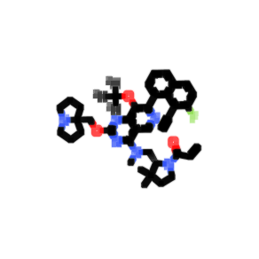 [2H]C([2H])([2H])Oc1c(-c2cccc3ccc(F)c(C#C)c23)ncc2c(N(C)C[C@H]3N(C(=O)C=C)CCC3(C)C)nc(OCC34CCCN3CCC4)nc12